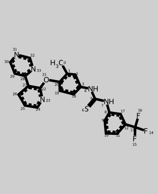 Cc1cc(NC(=S)Nc2cccc(C(F)(F)F)c2)ccc1Oc1ncccc1-c1ccncn1